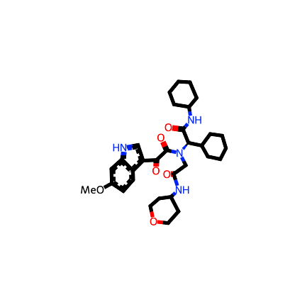 COc1ccc2c(C(=O)C(=O)N(CC(=O)NC3CCOCC3)[C@@H](C(=O)NC3CCCCC3)C3CCCCC3)c[nH]c2c1